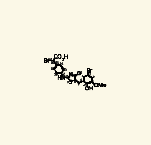 COc1cc(Br)cc(C=C2SC(Nc3ccc(C(Br)C(=O)O)cc3)=NC2=O)c1O